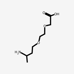 CC(N)CCOCCOCC(=O)O